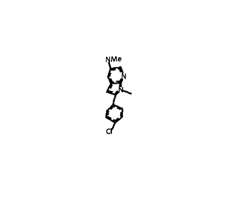 CNc1cnc2c(c1)cc(-c1ccc(Cl)cc1)n2C